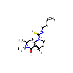 CCCCNC(=S)N1CCC(C)=C(C(=O)N(C)C(C)C)C1